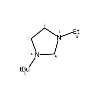 CCN1CCN(C(C)(C)C)C1